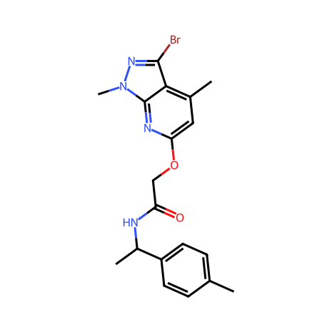 Cc1ccc(C(C)NC(=O)COc2cc(C)c3c(Br)nn(C)c3n2)cc1